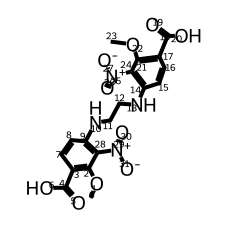 COc1c(C(=O)O)ccc(NCCNc2ccc(C(=O)O)c(OC)c2[N+](=O)[O-])c1[N+](=O)[O-]